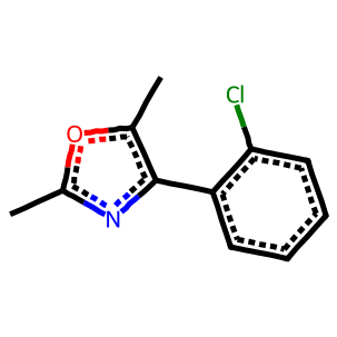 Cc1nc(-c2ccccc2Cl)c(C)o1